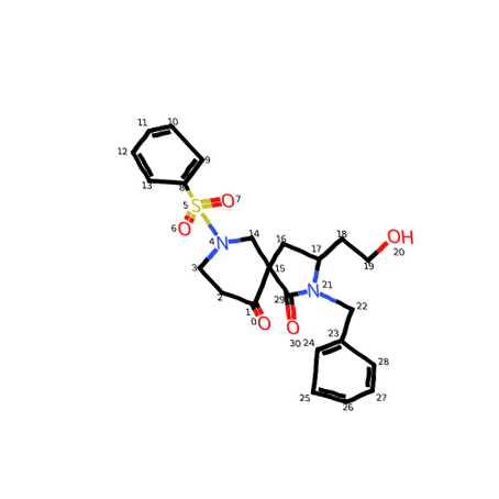 O=C1CCN(S(=O)(=O)c2ccccc2)CC12CC(CCO)N(Cc1ccccc1)C2=O